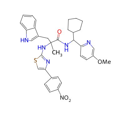 COc1ccc(C(NC(=O)C(C)(Cc2c[nH]c3ccccc23)Nc2nc(-c3ccc([N+](=O)[O-])cc3)cs2)C2CCCCC2)nc1